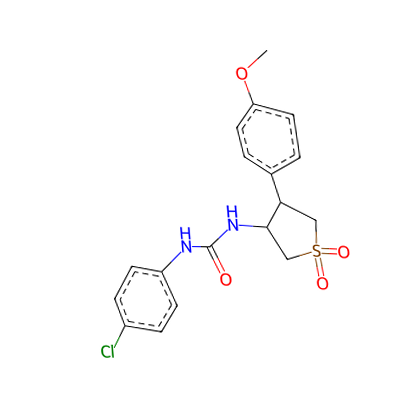 COc1ccc(C2CS(=O)(=O)CC2NC(=O)Nc2ccc(Cl)cc2)cc1